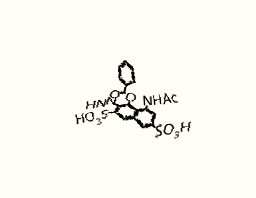 CC(=O)Nc1cc(S(=O)(=O)O)cc2cc(S(=O)(=O)O)c(N=N)c(OC(=O)c3ccccc3)c12